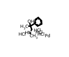 CNCC(C)(O)c1ccccc1.Cl.Cl.Cl.Cl.[Pd]